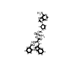 Nc1ncnc2c1ncn2[C@@H]1C=C[C@H](COP(N)(=O)OC(=O)[C@@H](Cc2c[nH]c3ccccc23)NOCc2ccccc2)C1